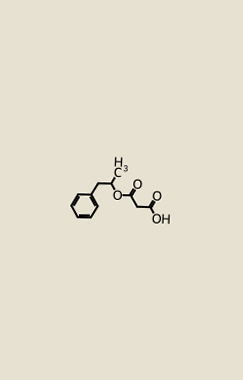 CC(Cc1ccccc1)OC(=O)CC(=O)O